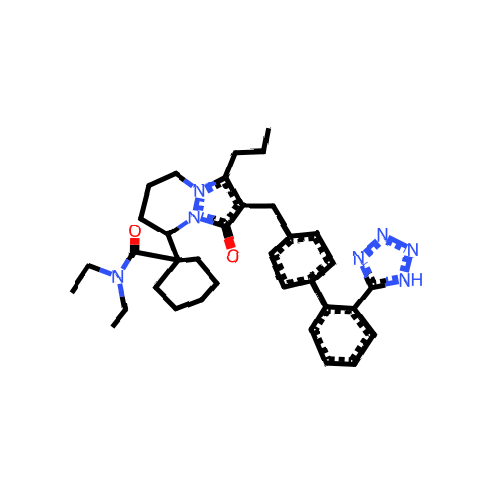 CCCc1c(Cc2ccc(-c3ccccc3-c3nnn[nH]3)cc2)c(=O)n2n1CCCC2C1(C(=O)N(CC)CC)CCCCC1